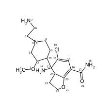 COC1CN(CCN)CCC1C1(N)C(Cl)=CC(C(N)=O)=C2OCCC21